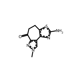 Cn1cc2c(n1)C(=O)CCc1sc(N)nc1-2